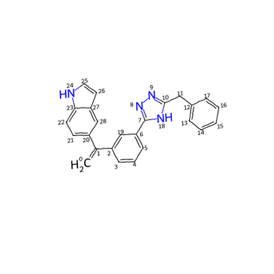 C=C(c1cccc(-c2nnc(Cc3ccccc3)[nH]2)c1)c1ccc2[nH]ccc2c1